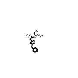 CC(C)CC(NC(Cc1cn(Cc2ccccc2)cn1)C(=O)O)C(=O)O